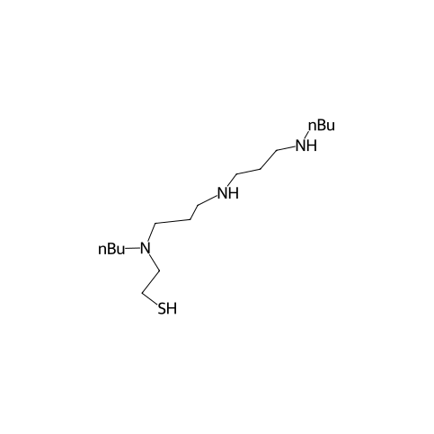 CCCCNCCCNCCCN(CCS)CCCC